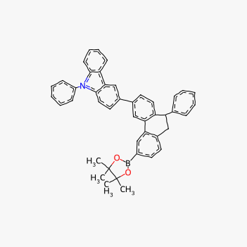 CC1(C)OB(c2ccc3c(c2)-c2cc(-c4ccc5c(c4)c4ccccc4n5-c4ccccc4)ccc2C(c2ccccc2)C3)OC1(C)C